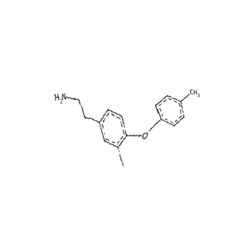 Cc1ccc(Oc2ccc(CCN)cc2I)cc1